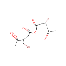 CC(=O)C(Br)C(=O)OC(=O)C(Br)C(C)=O